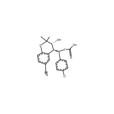 CC1(C)Oc2ccc(C#N)cc2[C@H](N(CC(=O)O)c2ccc(Cl)cc2)[C@H]1O